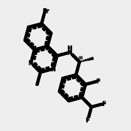 Cc1nc(N[C@H](C)c2cccc(C(F)F)c2F)c2cc(Br)ccc2n1